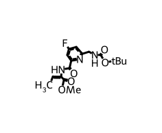 C/C=C(/NC(=O)c1cc(F)cc(CNC(=O)OC(C)(C)C)n1)C(=O)OC